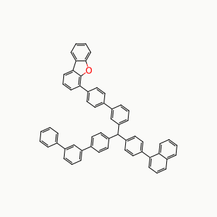 c1ccc(-c2cccc(-c3ccc(C(c4ccc(-c5cccc6ccccc56)cc4)c4cccc(-c5ccc(-c6cccc7c6oc6ccccc67)cc5)c4)cc3)c2)cc1